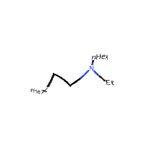 CCCCCCCCN(CC)CCCCCC